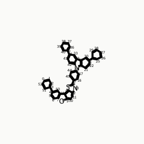 c1ccc(-c2ccc3oc4ccc5nc(-c6ccc(-n7c8ccc(-c9ccccc9)cc8c8cc(-c9ccccc9)ccc87)cc6)sc5c4c3c2)cc1